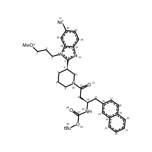 COCCCn1c([C@@H]2CCCN(C(=O)C[C@@H](Cc3ccc4ccccc4c3)NC(=O)OC(C)(C)C)C2)nc2ccc(C#N)cc21